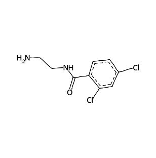 NCCNC(=O)c1ccc(Cl)cc1Cl